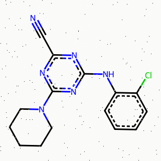 N#Cc1nc(Nc2ccccc2Cl)nc(N2CCCCC2)n1